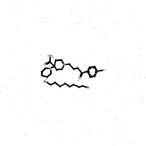 BrCCCCCCCCBr.NC(=O)C1(N2CCCCC2)CCN(CCCC(=O)c2ccc(F)cc2)CC1